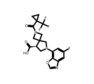 O=C(O)[C@@H]1CN(c2cc(F)cc3ncoc23)CC12CN(C(=O)C1(C(F)(F)F)CC1)C2